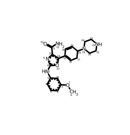 COc1cccc(Nc2nc(C(N)=O)c(C3=CCC(N4CCNCC4)C=C3)o2)c1